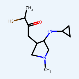 CC(S)C(=O)CC1CN(C)CC1NC1CC1